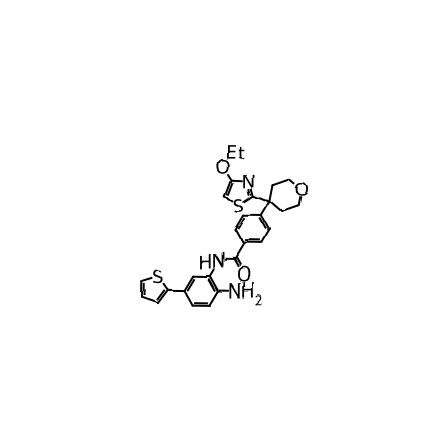 CCOc1csc(C2(c3ccc(C(=O)Nc4cc(-c5cccs5)ccc4N)cc3)CCOCC2)n1